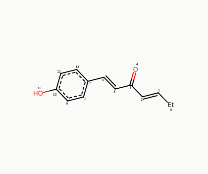 CCC=CC(=O)C=Cc1ccc(O)cc1